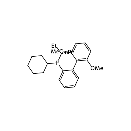 CCCC(CC)P(c1ccccc1-c1c(OC)cccc1OC)C1CCCCC1